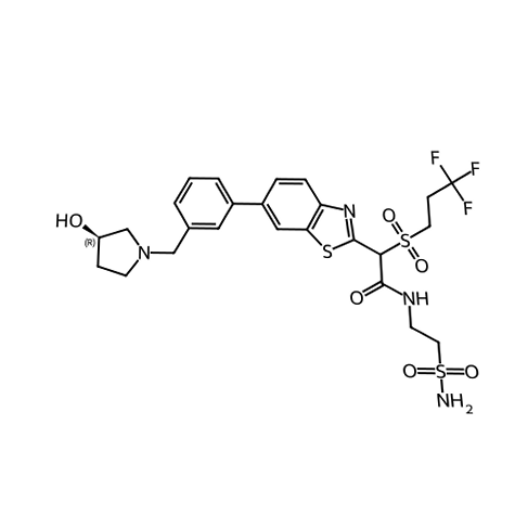 NS(=O)(=O)CCNC(=O)C(c1nc2ccc(-c3cccc(CN4CC[C@@H](O)C4)c3)cc2s1)S(=O)(=O)CCC(F)(F)F